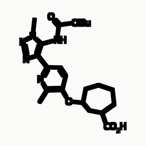 Cc1nc(-c2nnn(C)c2NC(=O)OCC(C)C)ccc1OC1CCCCC(C(=O)O)C1